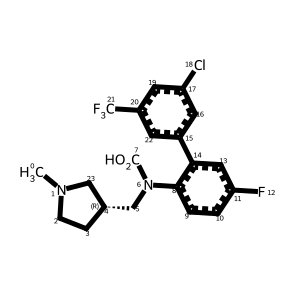 CN1CC[C@@H](CN(C(=O)O)c2ccc(F)cc2-c2cc(Cl)cc(C(F)(F)F)c2)C1